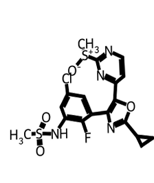 C[S+]([O-])c1nccc(-c2oc(C3CC3)nc2-c2cc(Cl)cc(NS(C)(=O)=O)c2F)n1